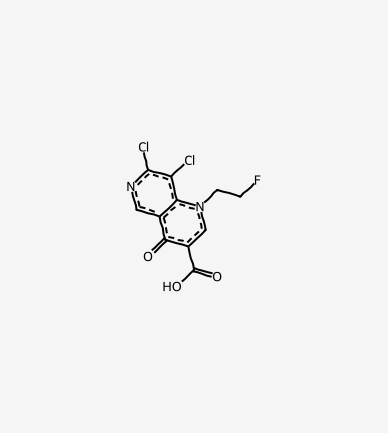 O=C(O)c1cn(CCF)c2c(Cl)c(Cl)ncc2c1=O